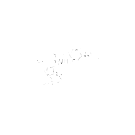 CCc1nc2c(Br)cccn2c1C(=O)NCc1ccc(N)cc1